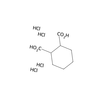 Cl.Cl.Cl.Cl.O=C(O)C1CCCCC1C(=O)O